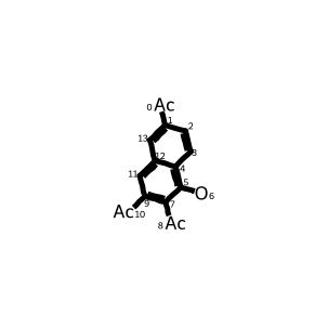 CC(=O)c1ccc2c([O])c(C(C)=O)c(C(C)=O)cc2c1